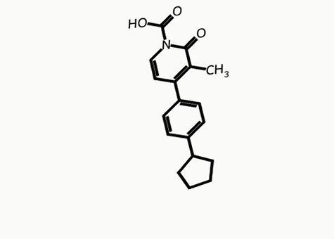 Cc1c(-c2ccc(C3CCCC3)cc2)ccn(C(=O)O)c1=O